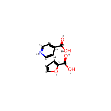 O=C(O)c1ccco1.O=C(O)c1ccncc1